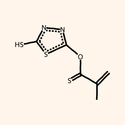 C=C(C)C(=S)Oc1nnc(S)s1